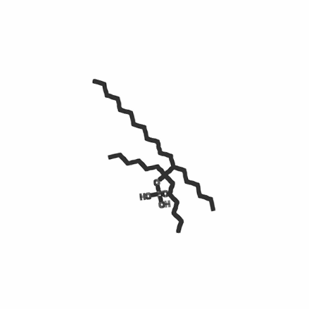 CCCCCCCCCCCCC(CCCCCC)C(CCCCCC)(CCCCCC)OP(=O)(O)O